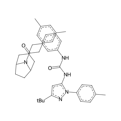 Cc1ccc(-n2nc(C(C)(C)C)cc2NC(=O)Nc2cccc(CC3CC4CCC(C3)N4C(=O)Cc3cc(C)cc(C)c3)c2)cc1